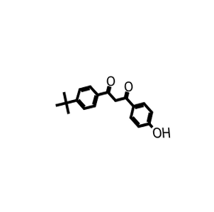 CC(C)(C)c1ccc(C(=O)CC(=O)c2ccc(O)cc2)cc1